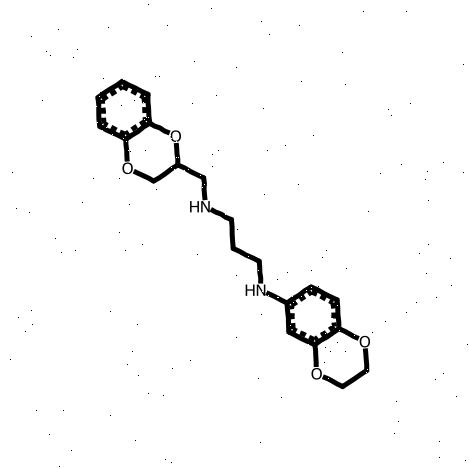 c1ccc2c(c1)OCC(CNCCCNc1ccc3c(c1)OCCO3)O2